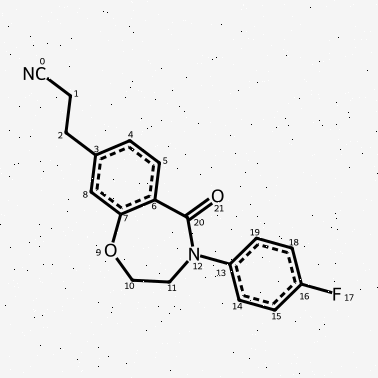 N#CCCc1ccc2c(c1)OCCN(c1ccc(F)cc1)C2=O